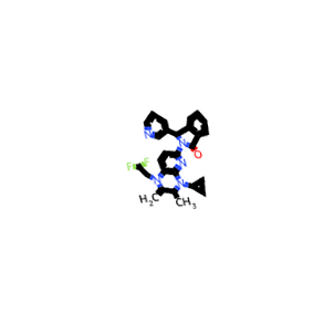 C=C1C(C)N(C2CC2)c2nc(N3C(=O)c4ccccc4C3c3cccnc3)ccc2N1CC(F)F